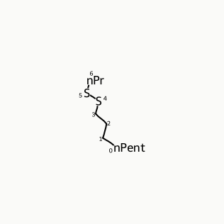 CCCCCCCCSSCCC